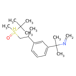 C=NC(C)(C)c1cccc(C(C)C[SH](C)(=O)C(C)(C)C)c1